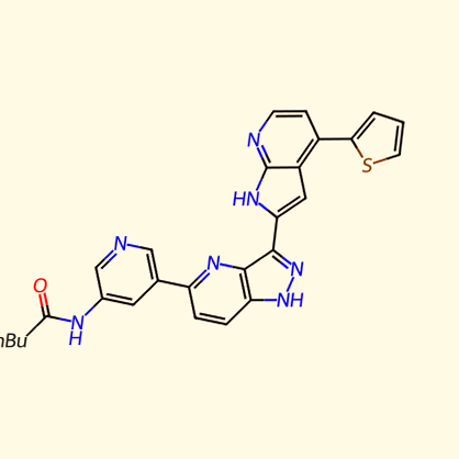 CCCCC(=O)Nc1cncc(-c2ccc3[nH]nc(-c4cc5c(-c6cccs6)ccnc5[nH]4)c3n2)c1